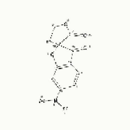 CC(=O)N(C(C)=O)c1ccc2c(c1)OC1(CCOC1=O)C2=O